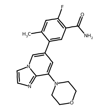 Cc1cc(F)c(C(N)=O)cc1-c1cc(N2CCOCC2)c2nccn2c1